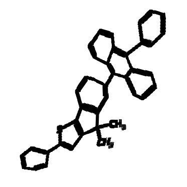 CC1(C)c2cc(-c3c4ccccc4c(-c4ccccc4)c4ccccc34)ccc2-c2sc(-c3ccccc3)cc21